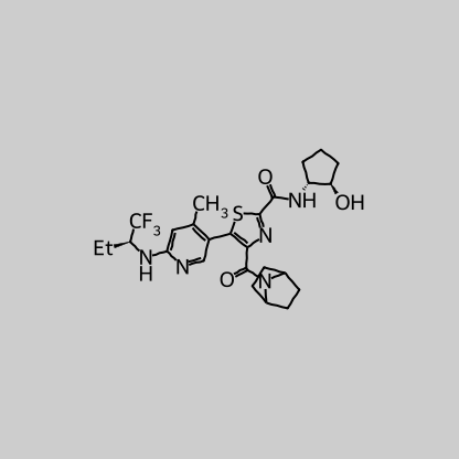 CC[C@H](Nc1cc(C)c(-c2sc(C(=O)N[C@@H]3CCC[C@H]3O)nc2C(=O)N2C3CCC2CC3)cn1)C(F)(F)F